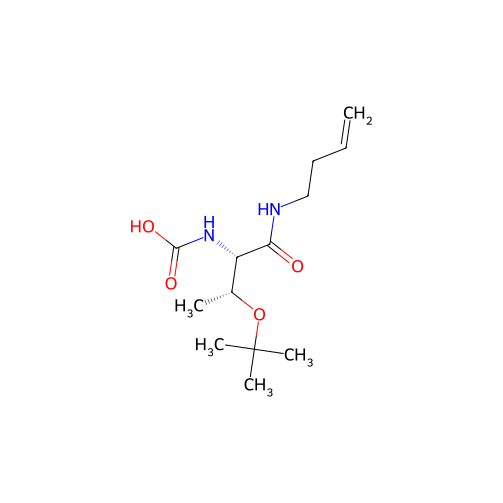 C=CCCNC(=O)[C@@H](NC(=O)O)[C@@H](C)OC(C)(C)C